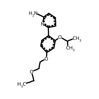 CCOCCOc1ccc(-c2cccc(N)n2)c(OC(C)C)c1